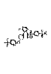 CN(C)S(=O)(=O)c1ccc(S(=O)(=O)Nc2cccc(F)c2N2CCC(Oc3ccc(C(F)(F)F)cn3)CC2)cc1